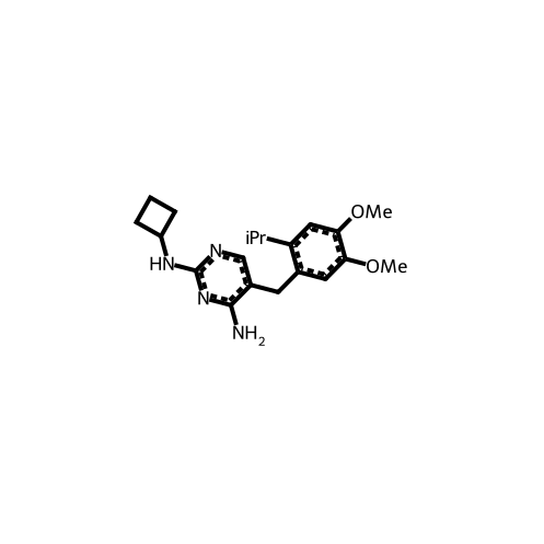 COc1cc(Cc2cnc(NC3CCC3)nc2N)c(C(C)C)cc1OC